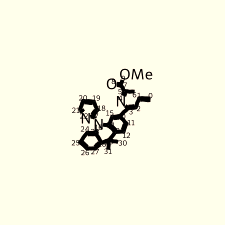 C=C/C=C(\N=C(/C)C(=O)OC)c1ccc2c(c1)N(c1ccccn1)c1ccccc1C2(C)C